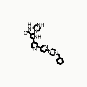 NC(=O)c1cc(-c2ccnc(-c3ccc(N4CCN(Cc5ccccc5)CC4)nc3)c2)[nH]c1N1CCNCC1